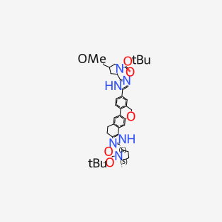 COCC1CC(c2ncc(-c3ccc4c(c3)COc3cc5c(cc3-4)CCc3nc([C@@H]4CC[C@H](C)N4C(=O)OC(C)(C)C)[nH]c3-5)[nH]2)N(C(=O)OC(C)(C)C)C1